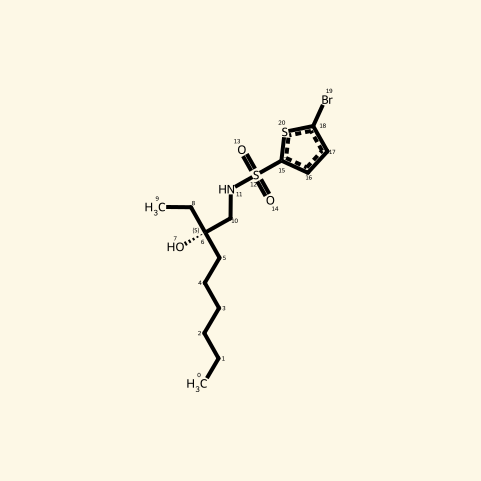 CCCCCC[C@@](O)(CC)CNS(=O)(=O)c1ccc(Br)s1